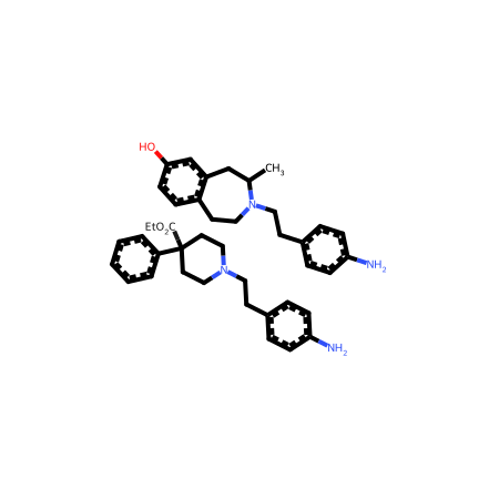 CC1Cc2cc(O)ccc2CCN1CCc1ccc(N)cc1.CCOC(=O)C1(c2ccccc2)CCN(CCc2ccc(N)cc2)CC1